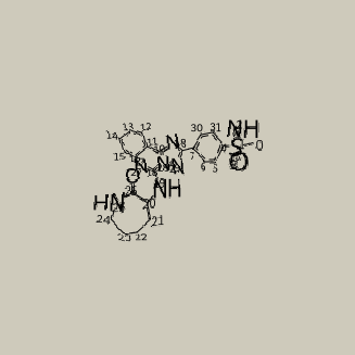 CS(=N)(=O)c1ccc(-c2nc3c4ccccc4nc(NC4CCCCNC4=O)n3n2)cc1